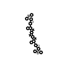 CC1(C)c2cc3c(cc2-c2cc4c(cc21)-c1c(cc(-c2ccc5c(c2)oc2ccc(P(=O)(c6ccccc6)c6ccccc6)cc25)c2ccccc12)C4(C)C)C(C)(C)c1cc(-c2ccc4c(c2)oc2ccc(P(=O)(c5ccccc5)c5ccccc5)cc24)c2ccccc2c1-3